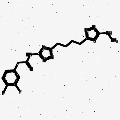 CNc1nnc(CCCCc2nnc(NC(=O)Cc3ccc(F)c(F)c3)s2)s1